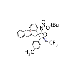 Cc1ccc(C(/C=C/C(F)(F)F)C2(Cc3ccc4ccccc4c3)C(=O)N(C(=O)OC(C)(C)C)c3ccccc32)cc1